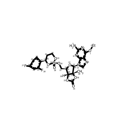 CCOc1nc(N)nc2c1ncn2[C@@H]1O[C@H](CO[P@]2(=O)OCC[C@H](c3ccc(F)cc3F)O2)[C@H]2OC(=O)O[C@]21C